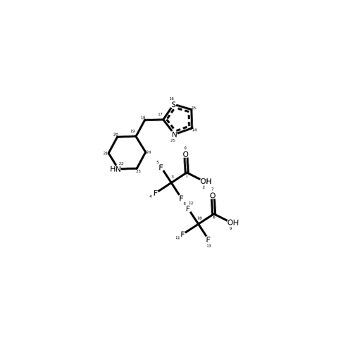 O=C(O)C(F)(F)F.O=C(O)C(F)(F)F.c1csc(CC2CCNCC2)n1